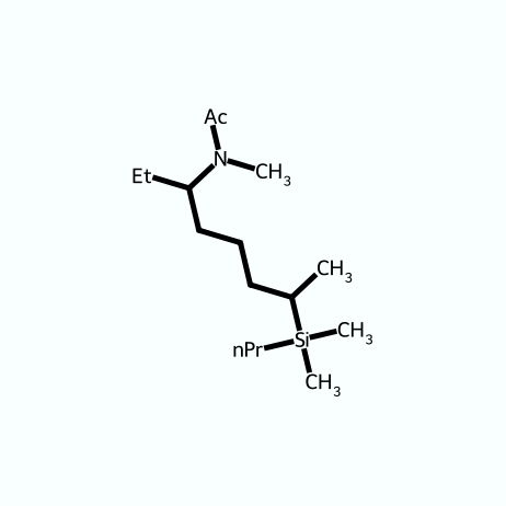 CCC[Si](C)(C)C(C)CCCC(CC)N(C)C(C)=O